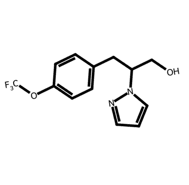 OCC(Cc1ccc(OC(F)(F)F)cc1)n1cccn1